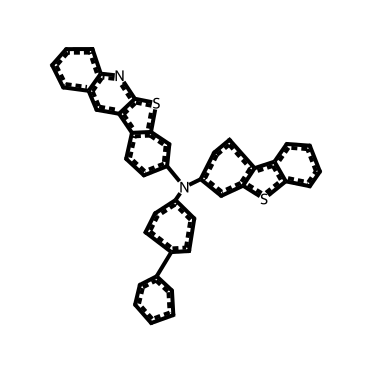 c1ccc(-c2ccc(N(c3ccc4c(c3)sc3ccccc34)c3ccc4c(c3)sc3nc5ccccc5cc34)cc2)cc1